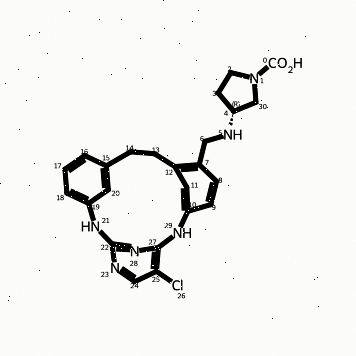 O=C(O)N1CC[C@@H](NCc2ccc3cc2CCc2cccc(c2)Nc2ncc(Cl)c(n2)N3)C1